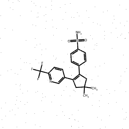 CC1(C)CC(c2ccc(S(N)(=O)=O)cc2)=C(c2ccc(C(F)(F)F)nc2)C1